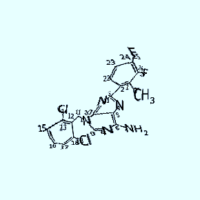 Cc1c(-c2nc3c(N)ncn(Cc4c(Cl)cccc4Cl)c-3n2)ccc(F)c1F